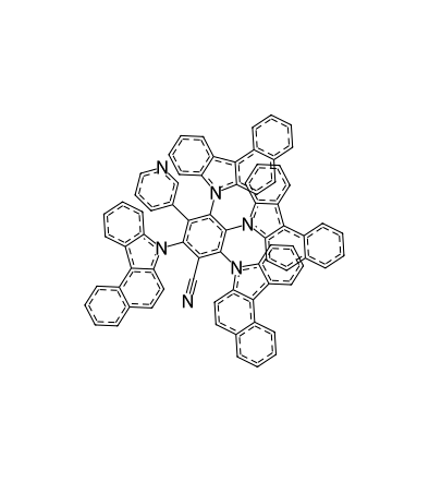 N#Cc1c(-n2c3ccccc3c3c4ccccc4ccc32)c(-c2cccnc2)c(-n2c3ccccc3c3c4ccccc4ccc32)c(-n2c3ccccc3c3c4ccccc4ccc32)c1-n1c2ccccc2c2c3ccccc3ccc21